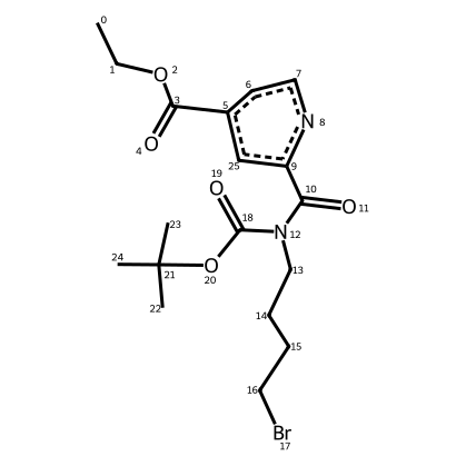 CCOC(=O)c1ccnc(C(=O)N(CCCCBr)C(=O)OC(C)(C)C)c1